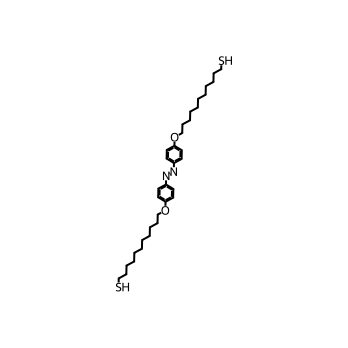 SCCCCCCCCCCCOc1ccc(N=Nc2ccc(OCCCCCCCCCCCS)cc2)cc1